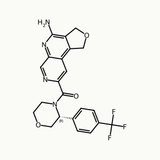 Nc1nc2cnc(C(=O)N3CCOC[C@H]3c3ccc(C(F)(F)F)cc3)cc2c2c1COC2